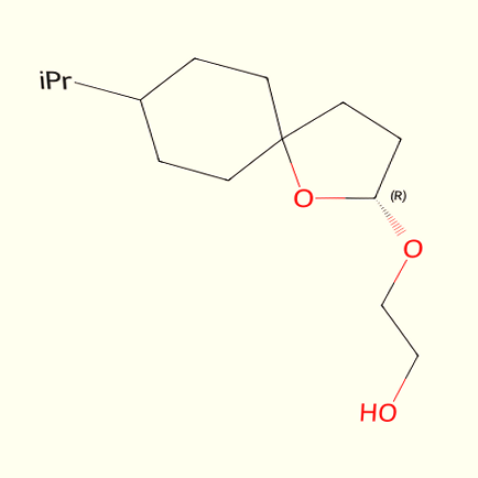 CC(C)C1CCC2(CC1)CC[C@H](OCCO)O2